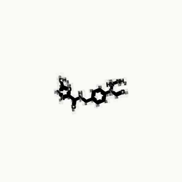 Cc1nnc(C(=O)NCc2ccc(N(C=O)NN)cc2)o1